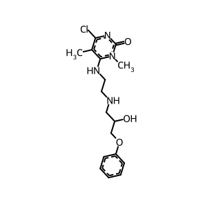 Cc1c(Cl)nc(=O)n(C)c1NCCNCC(O)COc1ccccc1